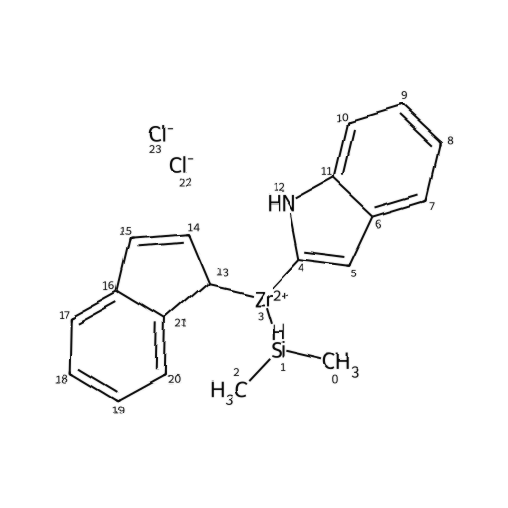 C[SiH](C)[Zr+2]([c]1cc2ccccc2[nH]1)[CH]1C=Cc2ccccc21.[Cl-].[Cl-]